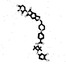 CN1C(=O)CCC(N2C(=O)c3cc4c(cc3C2=O)CN(CC2CCN(c3ccc(C(=O)N[C@H]5C(C)(C)[C@H](Oc6ccc(C#N)c(Cl)c6)C5(C)C)cc3)CC2)C4)C1=O